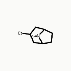 CCC1CC2CCC(C1)N2C(C)C